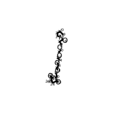 C[C@H]1CCN(C(=O)CCOCCOCCOCCOCCN2C(=O)C[C@H](C)C2=O)C1